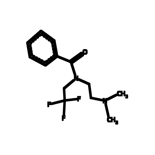 CN(C)CCN(CC(F)(F)F)C(=O)c1ccccc1